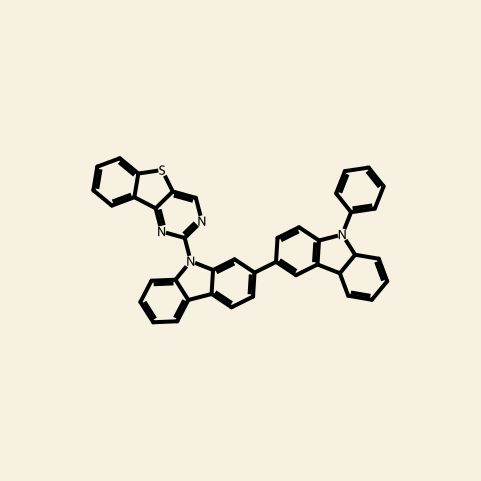 C1=CC2c3cc(-c4ccc5c6ccccc6n(-c6ncc7sc8ccccc8c7n6)c5c4)ccc3N(c3ccccc3)C2C=C1